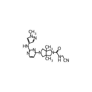 Cn1cc(Nc2nccc(N3CC4(C)CN(C(=O)NCC#N)CC4(C)C3)n2)cn1